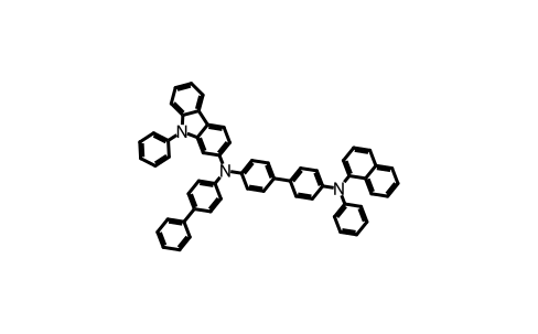 c1ccc(-c2ccc(N(c3ccc(-c4ccc(N(c5ccccc5)c5cccc6ccccc56)cc4)cc3)c3ccc4c5ccccc5n(-c5ccccc5)c4c3)cc2)cc1